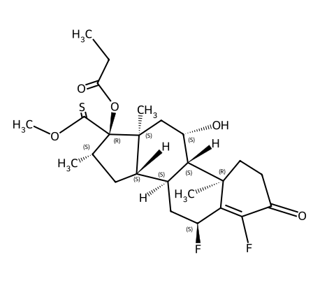 CCC(=O)O[C@]1(C(=S)OC)[C@@H](C)C[C@H]2[C@@H]3C[C@H](F)C4=C(F)C(=O)CC[C@]4(C)[C@H]3[C@@H](O)C[C@@]21C